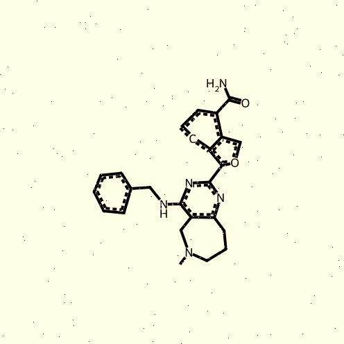 CN1CCCc2nc(-c3occ4c(C(N)=O)cccc34)nc(NCc3ccccc3)c2C1